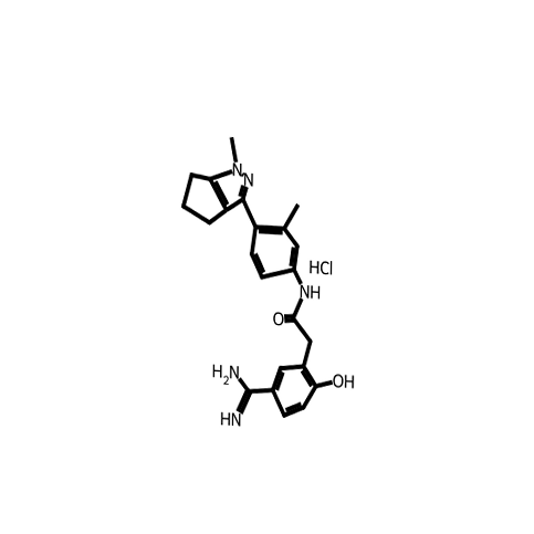 Cc1cc(NC(=O)Cc2cc(C(=N)N)ccc2O)ccc1-c1nn(C)c2c1CCC2.Cl